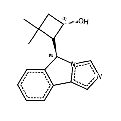 CC1(C)C[C@H](O)C1[C@@H]1c2ccccc2-c2cncn21